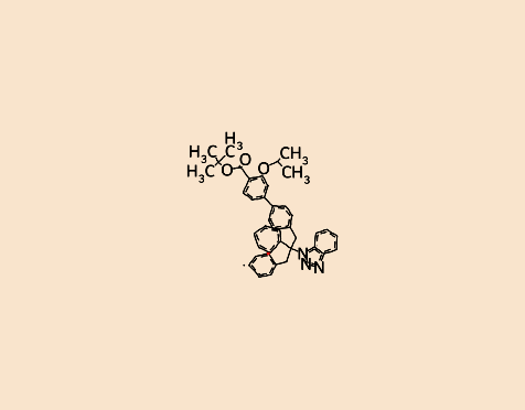 CC(C)Oc1cc(-c2ccc(CC(Cc3cc[c]cc3)(c3ccccc3)n3nnc4ccccc43)cc2)ccc1C(=O)OC(C)(C)C